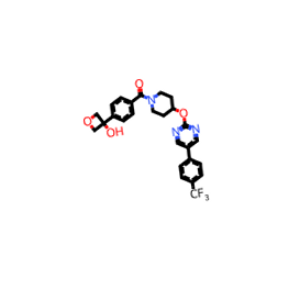 O=C(c1ccc(C2(O)COC2)cc1)N1CCC(Oc2ncc(-c3ccc(C(F)(F)F)cc3)cn2)CC1